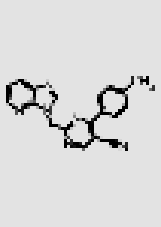 Cc1ccc(-c2nc(Cn3cnc4cccnc43)ncc2C#N)cc1